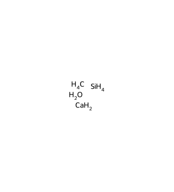 C.O.[CaH2].[SiH4]